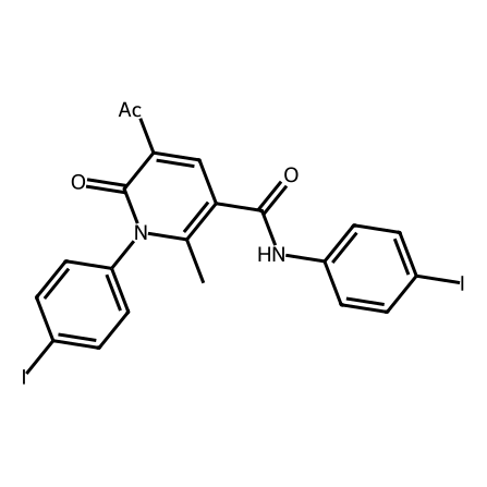 CC(=O)c1cc(C(=O)Nc2ccc(I)cc2)c(C)n(-c2ccc(I)cc2)c1=O